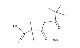 CC(C)(C)C(=O)CC(=O)C(C)(C)C(=O)O.[Mo]